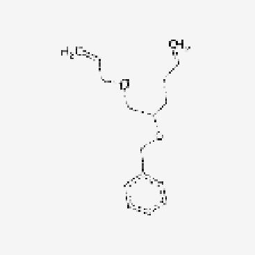 C=CCCC(COCC=C)OCc1ccccc1